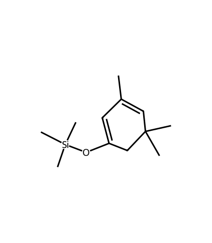 CC1=CC(C)(C)CC(O[Si](C)(C)C)=C1